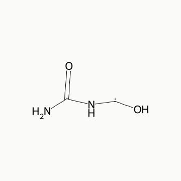 NC(=O)N[CH]O